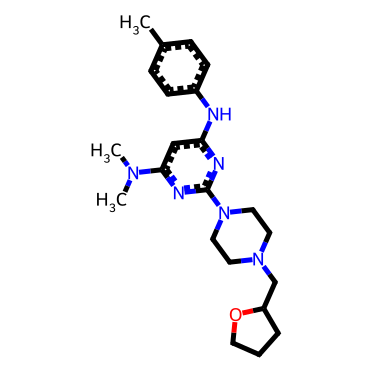 Cc1ccc(Nc2cc(N(C)C)nc(N3CCN(CC4CCCO4)CC3)n2)cc1